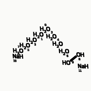 O.O.O.O.O.O.O.O.OO.[NaH].[NaH]